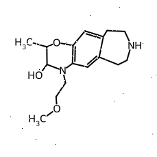 COCCN1c2cc3c(cc2OC(C)C1O)CCNCC3